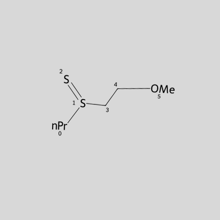 CCCS(=S)CCOC